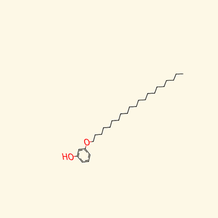 CCCCCCCCCCCCCCCCCCCCCOc1cccc(O)c1